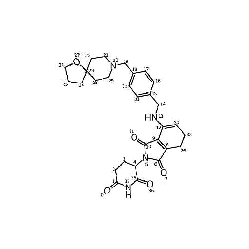 O=C1CCC(N2C(=O)C3=C(C2=O)C(NCc2ccc(CN4CCC5(CCCO5)CC4)cc2)=CCC3)C(=O)N1